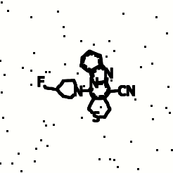 N#Cc1c2c(c(N3CCC(CF)CC3)n3c1nc1ccccc13)CSCC2